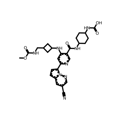 COC(=O)NCC1CC(Nc2cc(-c3ccc4cc(C#N)cnn34)ncc2C(=O)NC2CCC(NC(=O)O)CC2)C1